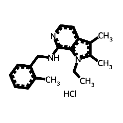 CCn1c(C)c(C)c2ccnc(NCc3ccccc3C)c21.Cl